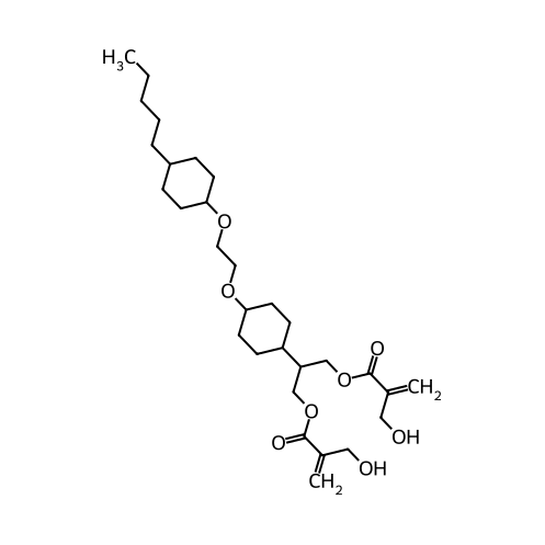 C=C(CO)C(=O)OCC(COC(=O)C(=C)CO)C1CCC(OCCOC2CCC(CCCCC)CC2)CC1